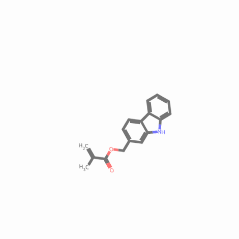 C=C(C)C(=O)OCc1ccc2c(c1)[nH]c1ccccc12